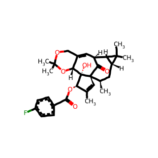 CC1=C[C@]23C(=O)[C@@H](C=C4COC(C)(C)O[C@H]4[C@]2(O)[C@H]1OC(=O)c1ccc(F)cc1)[C@H]1[C@@H](C[C@H]3C)C1(C)C